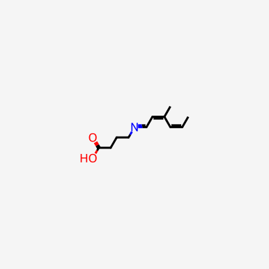 C\C=C/C(C)=C\C=N\CCCC(=O)O